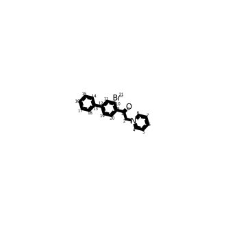 O=C(C[n+]1ccccc1)c1ccc(-c2ccccc2)cc1.[Br-]